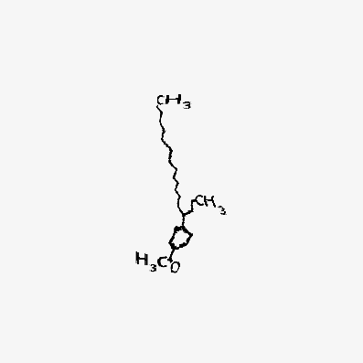 CCCCCCCCCCCCCCC(CCC)c1ccc(C(C)=O)cc1